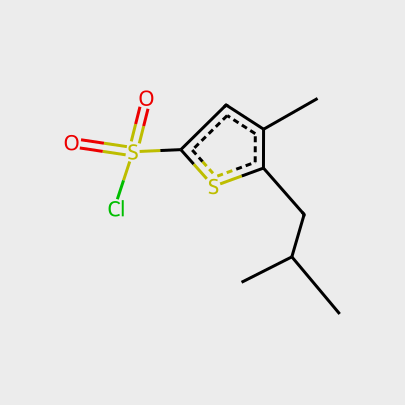 Cc1cc(S(=O)(=O)Cl)sc1CC(C)C